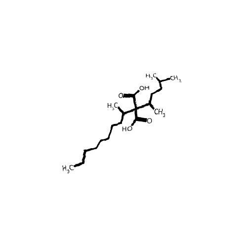 CCCCCCCCC(C)C(C(=O)O)(C(=O)O)C(C)CCC(C)C